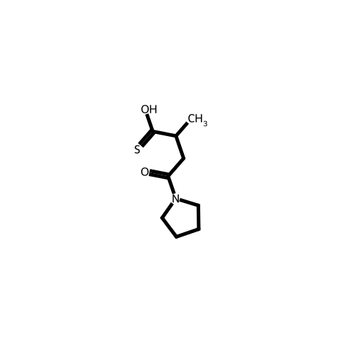 CC(CC(=O)N1CCCC1)C(O)=S